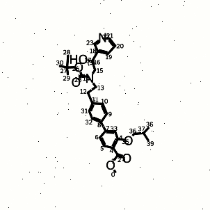 COC(=O)c1ccc(-c2ccc(CCN(C[C@@H](O)c3cccnc3)C(=O)OC(C)(C)C)cc2)cc1OCC(C)C